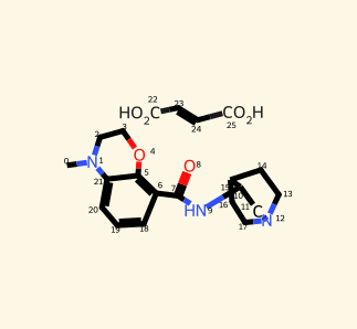 CN1CCOc2c(C(=O)NC3CN4CCC3CC4)cccc21.O=C(O)/C=C/C(=O)O